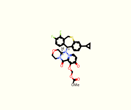 COC(=O)OCOc1c2n(ccc1=O)N([C@@H]1c3ccc(C4CC4)cc3SCc3c1ccc(F)c3F)[C@@H]1COCCN1C2=O